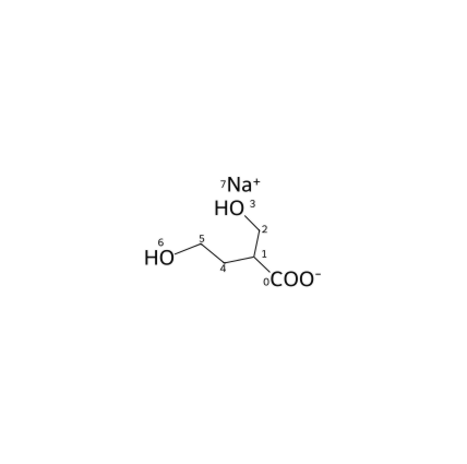 O=C([O-])C(CO)CCO.[Na+]